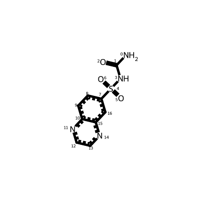 NC(=O)NS(=O)(=O)c1ccc2nccnc2c1